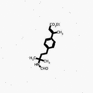 CCOC(=O)C=C(C)c1ccc(CCC(C)(C)NC=O)cc1